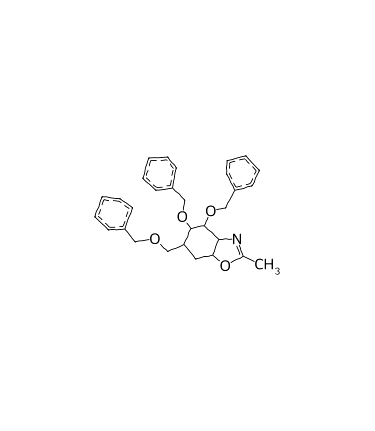 CC1=NC2C(CC(COCc3ccccc3)C(OCc3ccccc3)C2OCc2ccccc2)O1